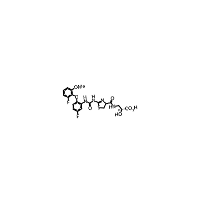 COc1cccc(F)c1Oc1ccc(F)cc1NC(=O)NC1=NC(C(=O)NC[C@@H](O)C(=O)O)CS1